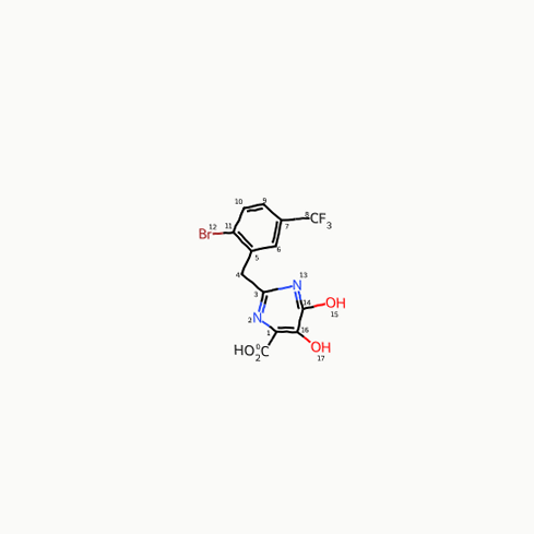 O=C(O)c1nc(Cc2cc(C(F)(F)F)ccc2Br)nc(O)c1O